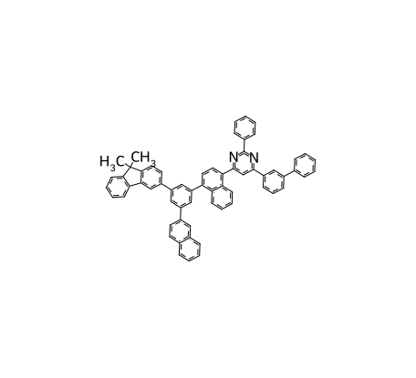 CC1(C)c2ccccc2-c2cc(-c3cc(-c4ccc5ccccc5c4)cc(-c4ccc(-c5cc(-c6cccc(-c7ccccc7)c6)nc(-c6ccccc6)n5)c5ccccc45)c3)ccc21